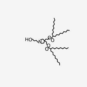 CCCCCCCCCC(CCCCCCCCC)C(=O)OCCC1(CCOC(=O)C(CCCCCCCCC)CCCCCCCCC)CCN(CCCCO)CC1